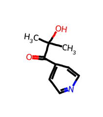 CC(C)(O)C(=O)c1ccncc1